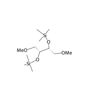 COC[C@@H](O[Si](C)(C)C)[C@@H](COC)O[Si](C)(C)C